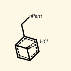 CCCCCCc1ccc2cc1C2=O.Cl